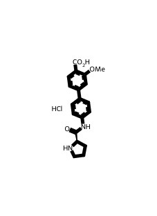 COc1cc(-c2ccc(NC(=O)[C@H]3CCCN3)cc2)ccc1C(=O)O.Cl